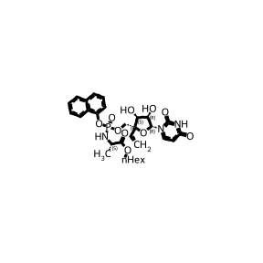 C=C[C@]1(COP(=O)(N[C@@H](C)C(=O)OCCCCCC)Oc2cccc3ccccc23)O[C@@H](n2ccc(=O)[nH]c2=O)[C@H](O)[C@@H]1O